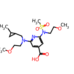 COCCN(CC1CC1C)c1cc(C(=O)O)cc(N(CCOC)S(C)(=O)=O)n1